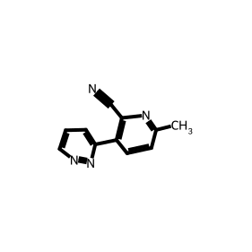 Cc1ccc(-c2cccnn2)c(C#N)n1